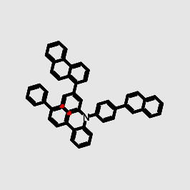 c1ccc(-c2ccc(-c3ccccc3N(c3ccc(-c4ccc5ccccc5c4)cc3)c3cccc(-c4cccc5c4ccc4ccccc45)c3)cc2)cc1